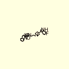 O=C(NCCCN1CCC(c2c[nH]c3cc(F)ccc23)CC1)Oc1ccc2ccccc2n1